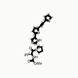 COC(=O)N[C@H](C(=O)N1CCC[C@H]1c1ncc(-c2ccc(C#Cc3cccs3)s2)[nH]1)C(C)C